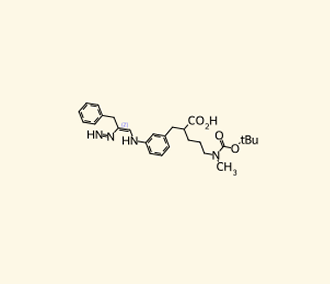 CN(CCCC(Cc1cccc(N/C=C(/Cc2ccccc2)N=N)c1)C(=O)O)C(=O)OC(C)(C)C